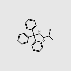 CC(F)C(=O)NC(c1ccccc1)(c1ccccc1)c1ccccc1